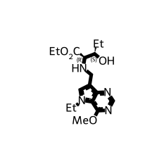 CCOC(=O)[C@H](NCc1cn(CC)c2c(OC)ncnc12)[C@@H](O)CC